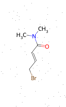 CN(C)C(=O)C=CCBr